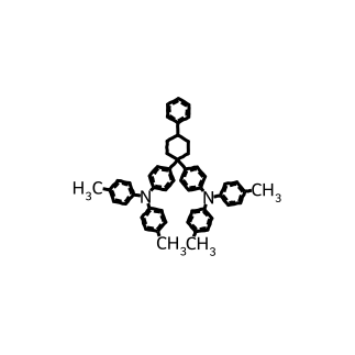 Cc1ccc(N(c2ccc(C)cc2)c2ccc(C3(c4ccc(N(c5ccc(C)cc5)c5ccc(C)cc5)cc4)CCC(c4ccccc4)CC3)cc2)cc1